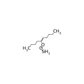 CCCCC=C(CCCC)OO[SiH3]